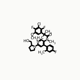 COc1cc(C(C)(C)C(=O)N(C)c2cnc(N3CCCC3CO)cc2-c2ccc(F)cc2C)c(F)c(Cl)c1F